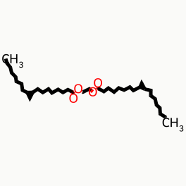 CCCCCCCCC1CC1CCCCCCCC(=O)OCCOC(=O)CCCCCCCC1CC1CCCCCCCC